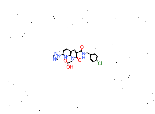 O=C(O)Cn1c(=O)c(C(=O)NCc2ccc(Cl)cc2)cc2ccc(-n3cncn3)nc21